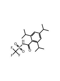 CC(C)c1cc(C(C)C)c(C(=O)NS(=O)(=O)C(F)(F)F)c(C(C)C)c1